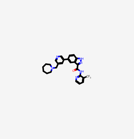 O=C(Nc1ncccc1C(F)(F)F)c1n[nH]c2ccc(-c3cncc(CN4CCCCCC4)c3)cc12